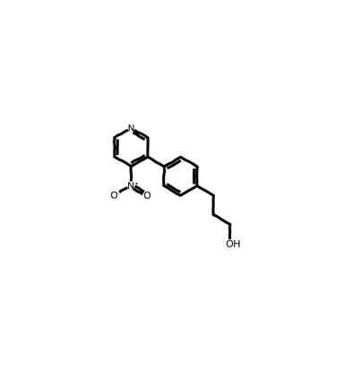 O=[N+]([O-])c1ccncc1-c1ccc(CCCO)cc1